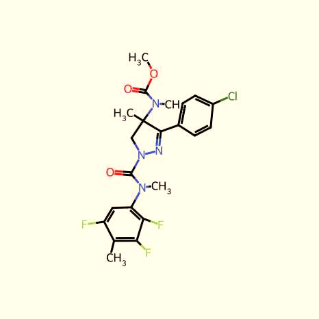 COC(=O)N(C)C1(C)CN(C(=O)N(C)c2cc(F)c(C)c(F)c2F)N=C1c1ccc(Cl)cc1